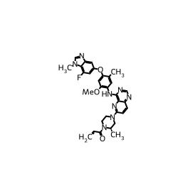 C=CC(=O)N1CCN(c2ccc3ncnc(Nc4cc(C)c(Oc5cc(F)c6c(c5)ncn6C)cc4OC)c3n2)C[C@H]1C